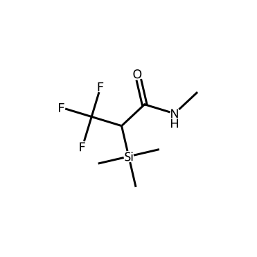 CNC(=O)C(C(F)(F)F)[Si](C)(C)C